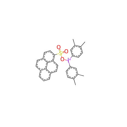 Cc1ccc([I+](OS(=O)(=O)c2ccc3ccc4cccc5ccc2c3c45)c2ccc(C)c(C)c2)cc1C